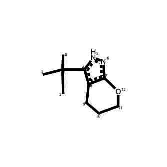 CC(C)(C)c1[nH]nc2c1CCCO2